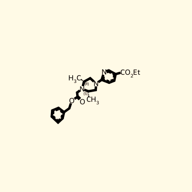 CCOC(=O)c1ccc(N2C[C@@H](C)N(CC(=O)OCc3ccccc3)[C@@H](C)C2)nc1